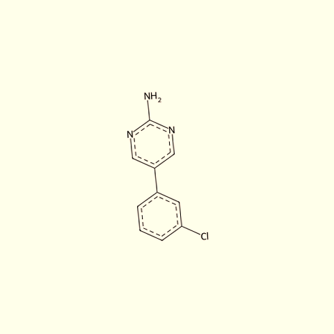 Nc1ncc(-c2cccc(Cl)c2)cn1